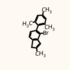 CC1=Cc2c(ccc(-c3c(C)cc(C)cc3C)c2Br)C1